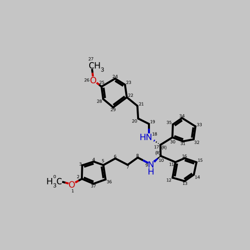 COc1ccc(CCCN[C@H](c2ccccc2)[C@H](NCCCc2ccc(OC)cc2)c2ccccc2)cc1